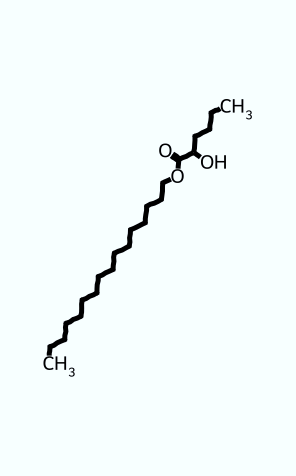 CCCCCCCCCCCCCCCCOC(=O)C(O)CCCC